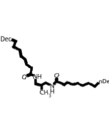 CCCCCCCCCCCCCCCCCC(=O)NCC(C)CNC(=O)CCCCCCCCCCCCCCCCC